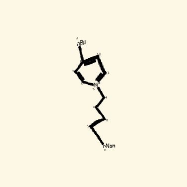 CCCCCCCCCCCCC[n+]1ccc(CCCC)cc1